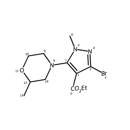 CCOC(=O)c1c(Br)nn(C)c1N1CCOC(C)C1